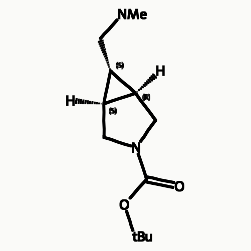 CNC[C@@H]1[C@H]2CN(C(=O)OC(C)(C)C)C[C@@H]12